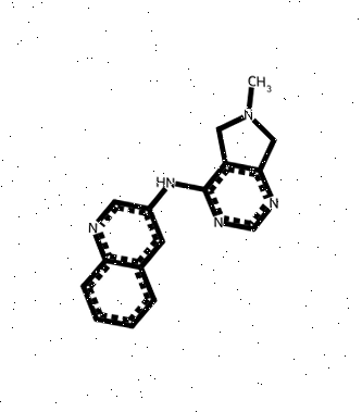 CN1Cc2ncnc(Nc3cnc4ccccc4c3)c2C1